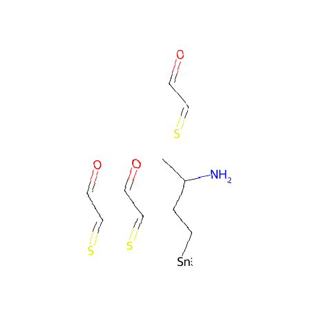 CC(N)C[CH2][Sn].O=CC=S.O=CC=S.O=CC=S